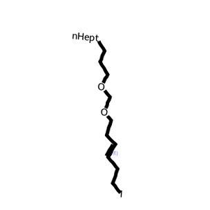 CCCCCCCCCCOCOCC/C=C/CCI